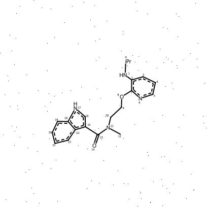 CC(C)Nc1cccnc1OCCN(C)C(=O)c1c[nH]c2ccccc12